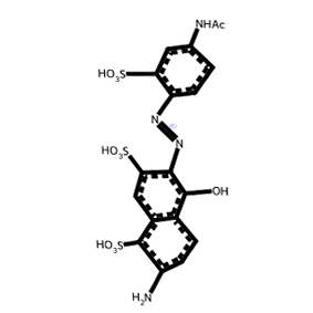 CC(=O)Nc1ccc(/N=N/c2c(S(=O)(=O)O)cc3c(S(=O)(=O)O)c(N)ccc3c2O)c(S(=O)(=O)O)c1